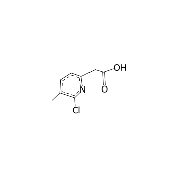 Cc1ccc(CC(=O)O)nc1Cl